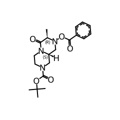 C[C@@H]1C(=O)N2CCN(C(=O)OC(C)(C)C)C[C@H]2CN1OC(=O)c1ccccc1